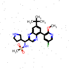 COc1ncc(F)cc1-c1cc(C(C)(C)C)cc2nc([C@@H](NS(C)(=O)=O)C3CCNC3)cnc12